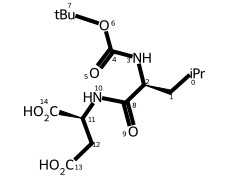 CC(C)C[C@H](NC(=O)OC(C)(C)C)C(=O)N[C@@H](CC(=O)O)C(=O)O